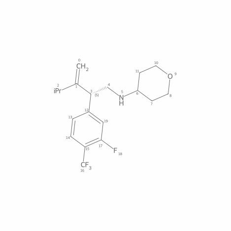 C=C(C(C)C)[C@H](CNC1CCOCC1)c1ccc(C(F)(F)F)c(F)c1